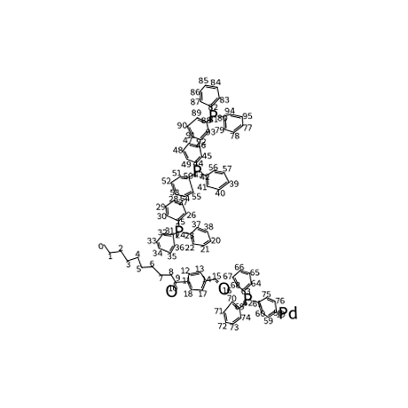 CCCCCCCCCC(=O)c1ccc(C=O)cc1.[Pd].c1ccc(P(c2ccccc2)c2ccccc2)cc1.c1ccc(P(c2ccccc2)c2ccccc2)cc1.c1ccc(P(c2ccccc2)c2ccccc2)cc1.c1ccc(P(c2ccccc2)c2ccccc2)cc1